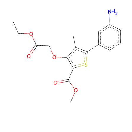 CCOC(=O)COc1c(C(=O)OC)sc(-c2cccc(N)c2)c1C